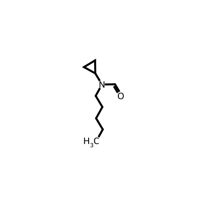 CCCCCN(C=O)C1CC1